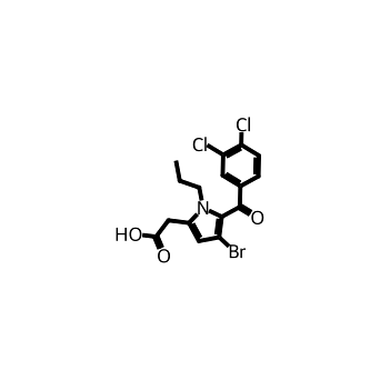 CCCn1c(CC(=O)O)cc(Br)c1C(=O)c1ccc(Cl)c(Cl)c1